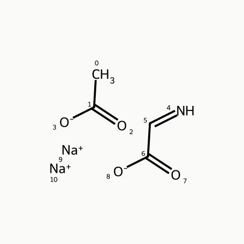 CC(=O)[O-].N=CC(=O)[O-].[Na+].[Na+]